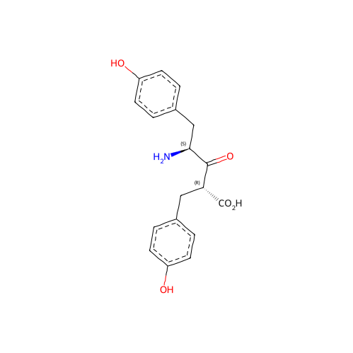 N[C@@H](Cc1ccc(O)cc1)C(=O)[C@@H](Cc1ccc(O)cc1)C(=O)O